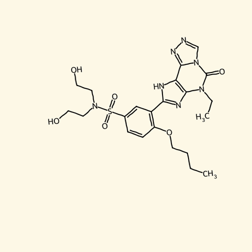 CCCCOc1ccc(S(=O)(=O)N(CCO)CCO)cc1-c1nc2c([nH]1)c1nncn1c(=O)n2CC